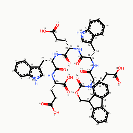 O=C(O)CC[C@H](NC(=O)[C@H](Cc1c[nH]c2ccccc12)NC(=O)[C@H](CCC(=O)O)NC(=O)[C@H](Cc1c[nH]c2ccccc12)NC(=O)[C@H](CCC(=O)O)NC(=O)OCC1c2ccccc2-c2ccccc21)C(=O)O